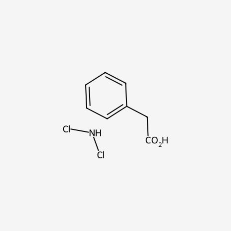 ClNCl.O=C(O)Cc1ccccc1